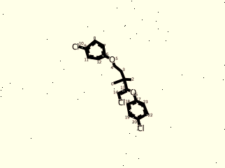 CC(C)(CCOc1ccc(Cl)cc1)/C(=C/Cl)Oc1ccc(Cl)cc1